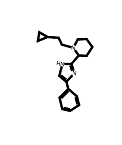 c1ccc(-c2c[nH]c(C3CCCCN3CCC3CC3)n2)cc1